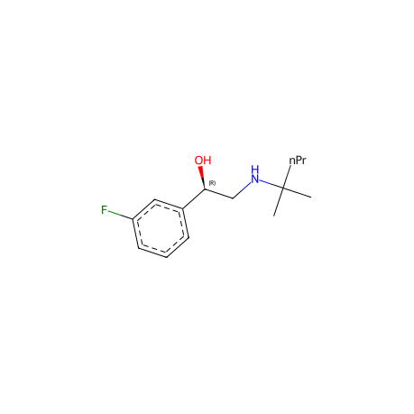 CCCC(C)(C)NC[C@H](O)c1cccc(F)c1